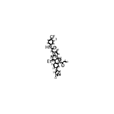 C=CC(=O)Nc1cc(-c2cnn(C)c2)ccc1-c1c(CC)nc2n(CC(=O)Nc3ccc(C(F)(F)F)cc3)c(C)cn2c1=O